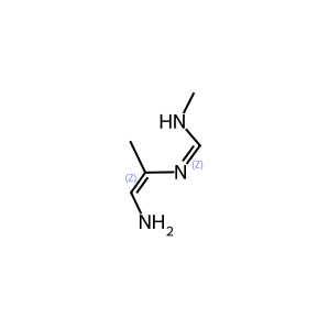 CN/C=N\C(C)=C/N